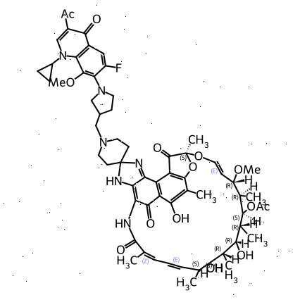 COc1c(N2CCC(CN3CCC4(CC3)N=C3C(=C5NC(=O)/C(C)=C\C=C\[C@H](C)[C@H](O)[C@@H](C)[C@@H](O)[C@@H](C)[C@H](OC(C)=O)[C@H](C)[C@@H](OC)/C=C/O[C@@]6(C)Oc7c(C)c(O)c(c3c7C6=O)C5=O)N4)C2)c(F)cc2c(=O)c(C(C)=O)cn(C3CC3)c12